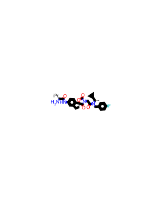 CC(C)[C@@H](N)C(=O)Nc1ccc2c(c1)CC[C@@]21OC(=O)N(CC(=O)N(Cc2ccc(F)cc2)[C@@H](C)C2CC2)C1=O